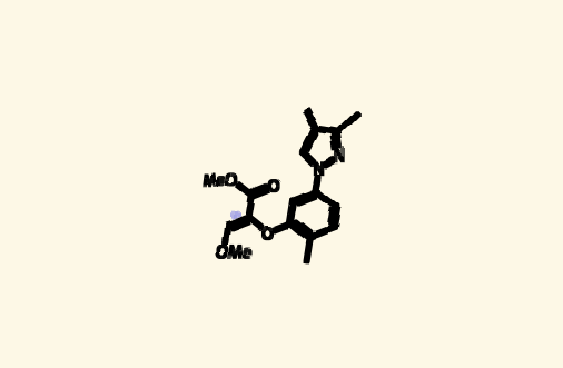 CO/C=C(\Oc1cc(-n2cc(C)c(C)n2)ccc1C)C(=O)OC